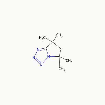 CC1(C)CC(C)(C)n2nnnc21